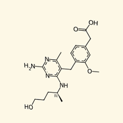 COc1cc(CC(=O)O)ccc1Cc1c(C)nc(N)nc1N[C@@H](C)CCCO